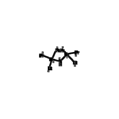 CC[Si](N[Si](CC)(C(C)C)C(C)C)(C(C)C)C(C)C